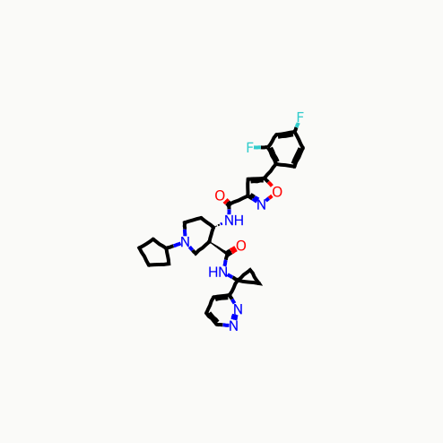 O=C(N[C@H]1CCN(C2CCCC2)C[C@@H]1C(=O)NC1(c2cccnn2)CC1)c1cc(-c2ccc(F)cc2F)on1